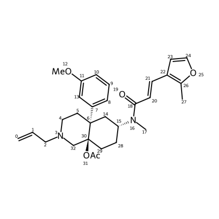 C=CCN1CC[C@@]2(c3cccc(OC)c3)C[C@H](N(C)C(=O)/C=C/c3ccoc3C)CC[C@]2(OC(C)=O)C1